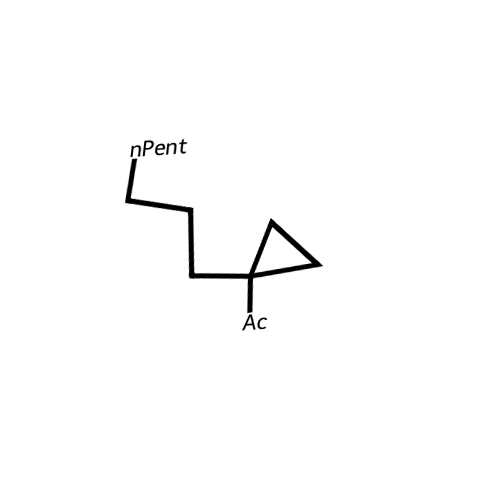 CCCCCCCCC1(C(C)=O)CC1